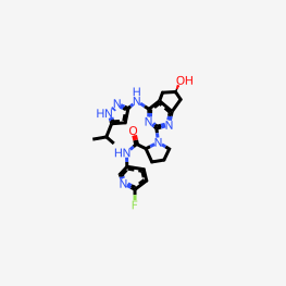 CC(C)c1cc(Nc2nc(N3CCCC3C(=O)Nc3ccc(F)nc3)nc3c2C[C@@H](O)C3)n[nH]1